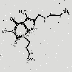 CCn1c(=O)c2c(C)c(CNCCN)sc2n(CCCOC)c1=O